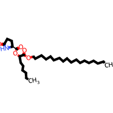 CCCCCCCCCCCCCCCCCCOC(=O)C(CCCCCC)OC(=O)[C@@H]1CCC(=O)N1